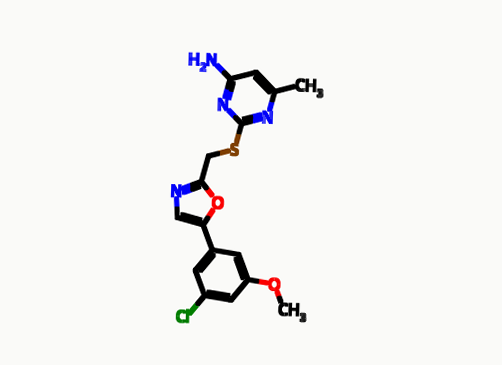 COc1cc(Cl)cc(-c2cnc(CSc3nc(C)cc(N)n3)o2)c1